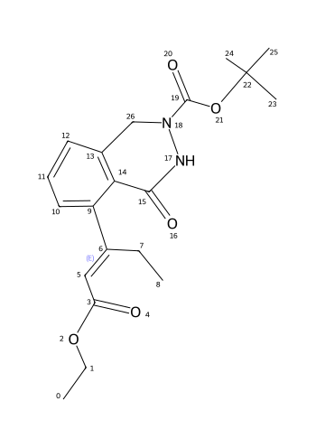 CCOC(=O)/C=C(\CC)c1cccc2c1C(=O)NN(C(=O)OC(C)(C)C)C2